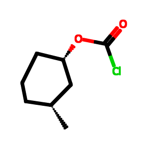 C[C@@H]1CCC[C@H](OC(=O)Cl)C1